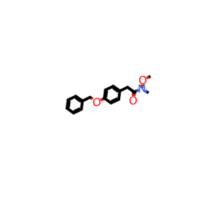 CON(C)C(=O)Cc1ccc(OCc2ccccc2)cc1